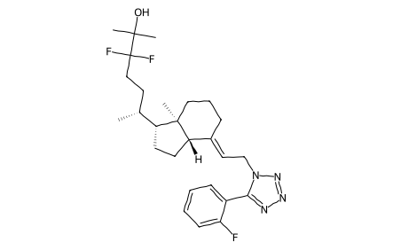 C[C@H](CCC(F)(F)C(C)(C)O)[C@H]1CC[C@H]2/C(=C/Cn3nnnc3-c3ccccc3F)CCC[C@]12C